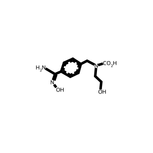 N/C(=N/O)c1ccc(CN(CCO)C(=O)O)cc1